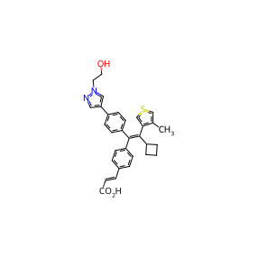 Cc1cscc1C(=C(c1ccc(C=CC(=O)O)cc1)c1ccc(-c2cnn(CCO)c2)cc1)C1CCC1